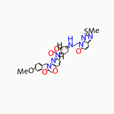 COc1ccc(CN2C(=O)COc3ccc(N4C(=O)O[C@@H]5C[C@@H](NCCn6c(=O)ccc7cnc(SC)nc76)CC[C@@H]54)nc32)cc1